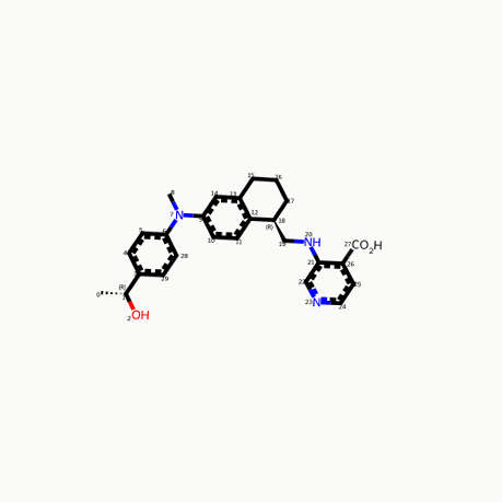 C[C@@H](O)c1ccc(N(C)c2ccc3c(c2)CCC[C@H]3CNc2cnccc2C(=O)O)cc1